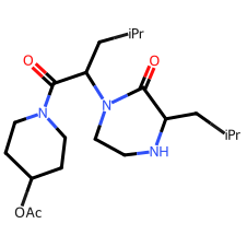 CC(=O)OC1CCN(C(=O)C(CC(C)C)N2CCNC(CC(C)C)C2=O)CC1